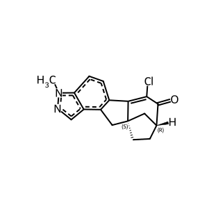 Cn1ncc2c3c(ccc21)C1=C(Cl)C(=O)[C@@H]2CC[C@@]1(C3)C2